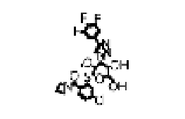 COC1C(n2cc(-c3cc(F)c(F)c(F)c3)nn2)[C@@H](O)C(CO)O[C@@H]1Sc1cc(Cl)ccc1C(=O)N1CCC1